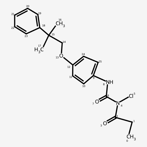 CCC(=O)N(Cl)C(=O)Nc1ccc(OCC(C)(C)c2ccccc2)cc1